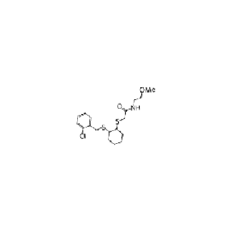 COCCNC(=O)CSC1CCCCC1SCc1ccccc1Cl